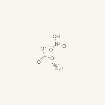 O=C([O-])[O-].O=[N+]([O-])O.[Na+].[Na+]